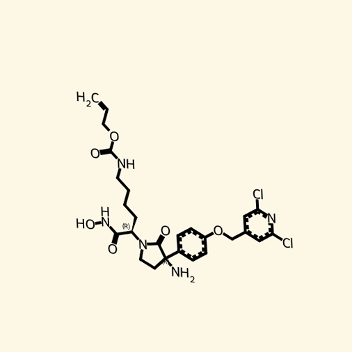 C=CCOC(=O)NCCCC[C@H](C(=O)NO)N1CC[C@@](N)(c2ccc(OCc3cc(Cl)nc(Cl)c3)cc2)C1=O